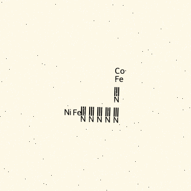 C#N.C#N.C#N.C#N.C#N.C#N.[Co].[Fe].[Fe].[Ni]